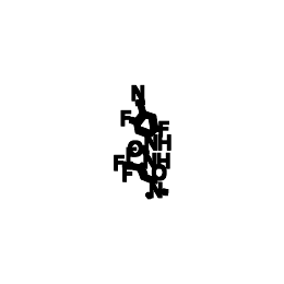 CN(C)C(=O)/C=C(\NC(=O)Nc1cc(F)c(C#N)cc1F)C(F)(F)F